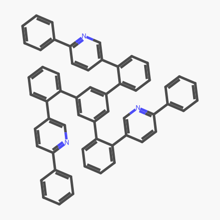 c1ccc(-c2ccc(-c3ccccc3-c3cc(-c4ccccc4-c4ccc(-c5ccccc5)nc4)cc(-c4ccccc4-c4ccc(-c5ccccc5)nc4)c3)cn2)cc1